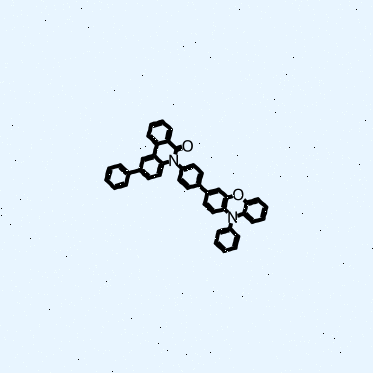 O=c1c2ccccc2c2cc(-c3ccccc3)ccc2n1-c1ccc(-c2ccc3c(c2)Oc2ccccc2N3c2ccccc2)cc1